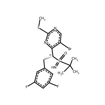 CSc1ncc(Br)c([C@@H](Cc2cc(F)cc(F)c2)S(=N)(=O)C(C)(C)C)n1